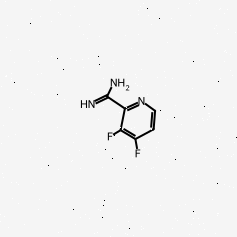 N=C(N)c1nccc(F)c1F